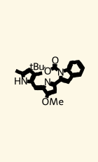 COC1=CC(c2cc3ccccc3n2C(=O)OC(C)(C)C)=NC1=Cc1[nH]c(C)cc1C